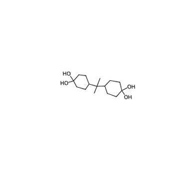 CC(C)(C1CCC(O)(O)CC1)C1CCC(O)(O)CC1